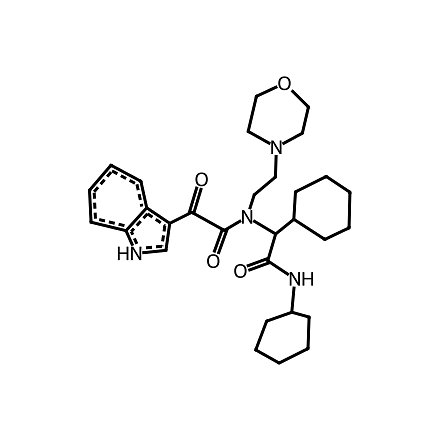 O=C(C(=O)N(CCN1CCOCC1)C(C(=O)NC1CCCCC1)C1CCCCC1)c1c[nH]c2ccccc12